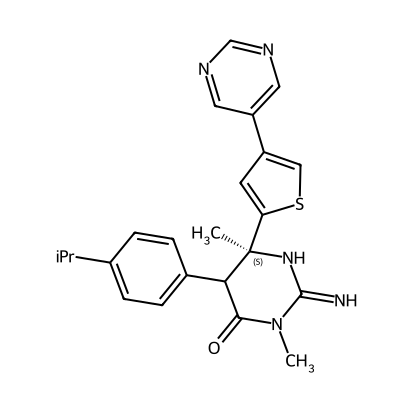 CC(C)c1ccc(C2C(=O)N(C)C(=N)N[C@]2(C)c2cc(-c3cncnc3)cs2)cc1